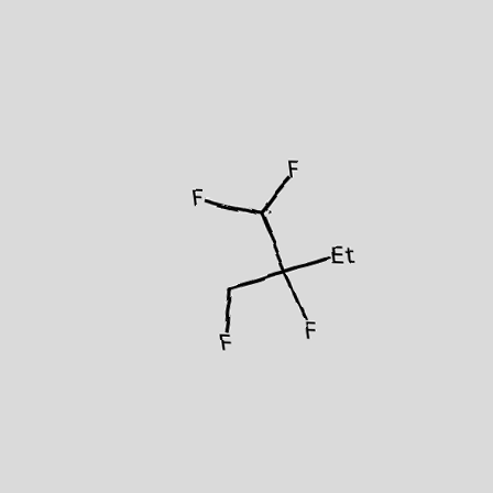 [CH2]CC(F)(CF)[C](F)F